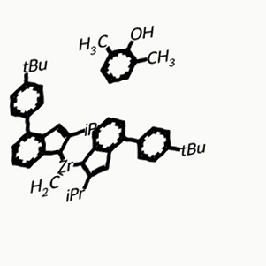 Cc1cccc(C)c1O.[CH2]=[Zr]([CH]1C(C(C)C)=Cc2c(-c3ccc(C(C)(C)C)cc3)cccc21)[CH]1C(C(C)C)=Cc2c(-c3ccc(C(C)(C)C)cc3)cccc21